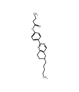 CCCCCC1CCc2nc(-c3ccc(OC(=O)CCC)cc3)ncc2C1